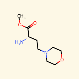 COC(=O)[C@@H](N)CCN1CCOCC1